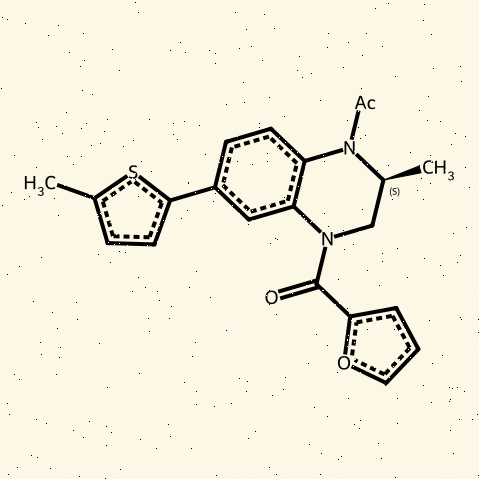 CC(=O)N1c2ccc(-c3ccc(C)s3)cc2N(C(=O)c2ccco2)C[C@@H]1C